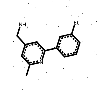 CCc1cccc(-c2cc(CN)cc(C)n2)c1